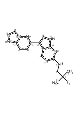 CC(C)(F)CNc1ncc2c(-c3ccc4nccn4n3)c[nH]c2n1